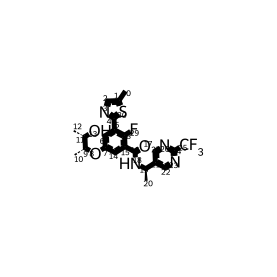 Cc1cnc(-c2cc(O[C@H](C)[C@H](C)O)cc(C(=O)N[C@H](C)c3cnc(C(F)(F)F)nc3)c2F)s1